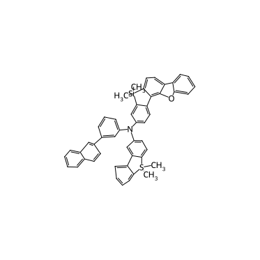 C[Si]1(C)c2cc(N(c3cccc(-c4ccc5ccccc5c4)c3)c3ccc4c(c3)-c3ccccc3S4(C)C)ccc2-c2c1ccc1c2oc2ccccc21